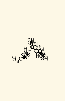 CO/N=C1\C[C@@H](CCC(=O)Nc2ncc(C)s2)C2C3CCc4cc(OP(=O)(O)O)c(I)cc4C3CC[C@]12C